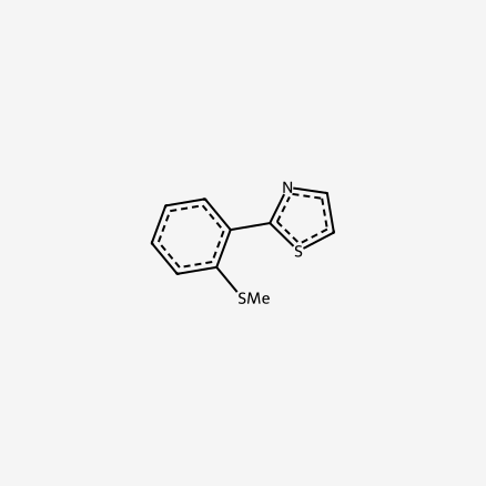 CSc1ccccc1-c1nccs1